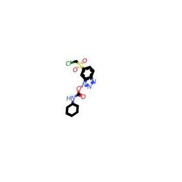 O=C(NC1CCCCC1)On1nnc2ccc(S(=O)(=O)CCl)cc21